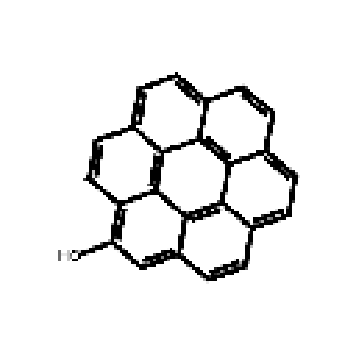 Oc1cc2ccc3ccc4ccc5ccc6c[c]c1c1c6c5c4c3c21